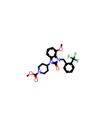 COC(=O)N1CCC(n2c(=O)n(Cc3ccccc3C(F)(F)F)c3c(OC)cccc32)CC1